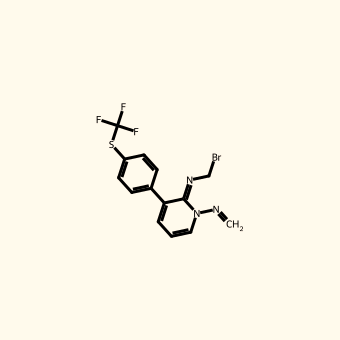 C=Nn1cccc(-c2ccc(SC(F)(F)F)cc2)/c1=N/CBr